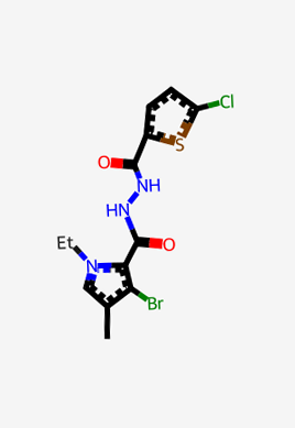 CCn1cc(C)c(Br)c1C(=O)NNC(=O)c1ccc(Cl)s1